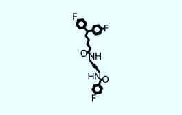 O=C(CCCCC(c1ccc(F)cc1)c1ccc(F)cc1)NCC#CCNC(=O)c1ccc(F)cc1